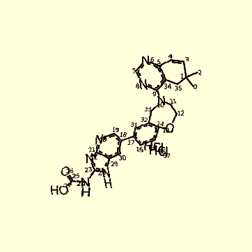 CC1(C)C=Cc2ncnc(N3CCOc4ccc(-c5cnc6nc(NC(=O)O)[nH]c6c5)cc4C3)c2C1.Cl.Cl